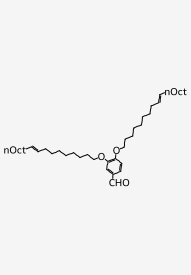 CCCCCCCCC=CCCCCCCCCOc1ccc(C=O)cc1OCCCCCCCCC=CCCCCCCCC